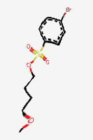 COCCCCOS(=O)(=O)c1ccc(Br)cc1